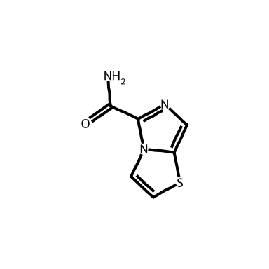 NC(=O)c1ncc2sccn12